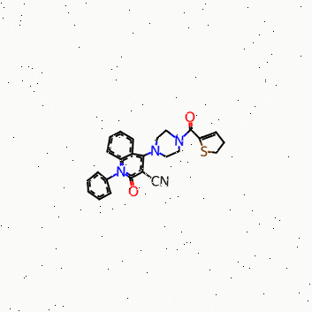 N#Cc1c(N2CCN(C(=O)C3=CCCS3)CC2)c2ccccc2n(-c2ccccc2)c1=O